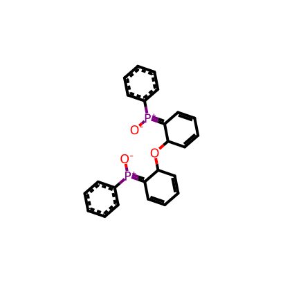 [O-]/[P+](=C1/C=CC=CC1OC1C=CC=C/C1=[P+](/[O-])c1ccccc1)c1ccccc1